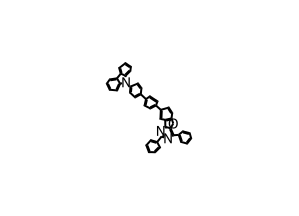 c1ccc(-c2nc(-c3ccccc3)c3oc4ccc(-c5ccc(-c6ccc(-n7c8ccccc8c8ccccc87)cc6)cc5)cc4c3n2)cc1